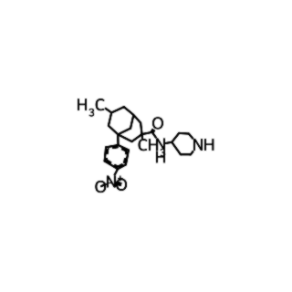 CC1CC2CC(C)(C(=O)NC3CCNCC3)CC(c3ccc([N+](=O)[O-])cc3)(C1)C2